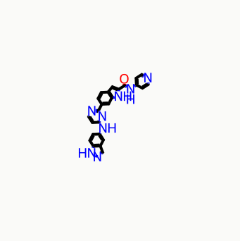 O=C(Nc1ccncc1)c1cc2ccc(-c3nccc(Nc4ccc5[nH]ncc5c4)n3)cc2[nH]1